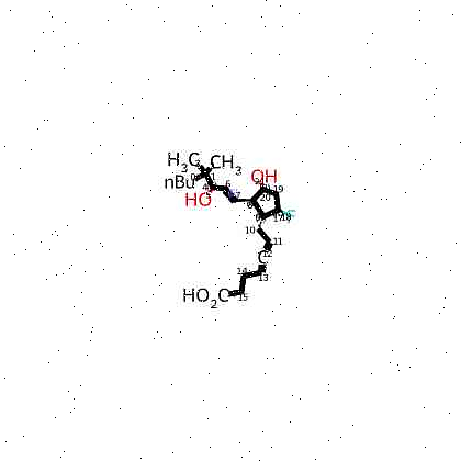 CCCCC(C)(C)[C@H](O)/C=C/[C@@H]1[C@@H](CC=C=CCCC(=O)O)[C@H](F)C[C@H]1O